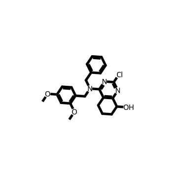 COc1ccc(CN(Cc2ccccc2)c2nc(Cl)nc3c2CCCC3O)c(OC)c1